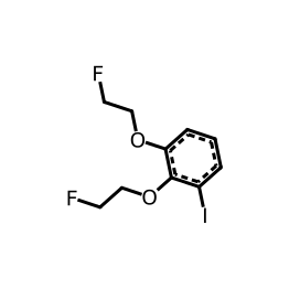 FCCOc1cccc(I)c1OCCF